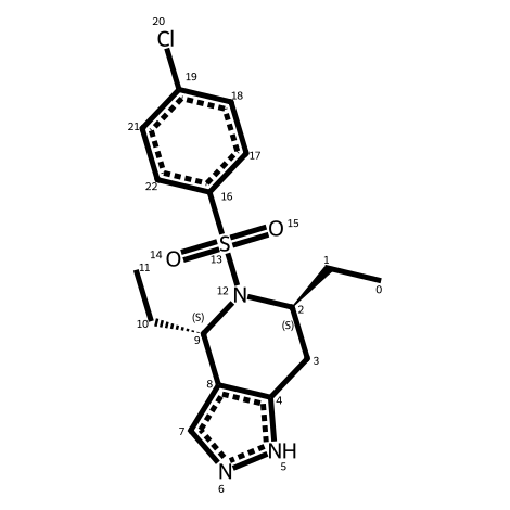 CC[C@H]1Cc2[nH]ncc2[C@H](CC)N1S(=O)(=O)c1ccc(Cl)cc1